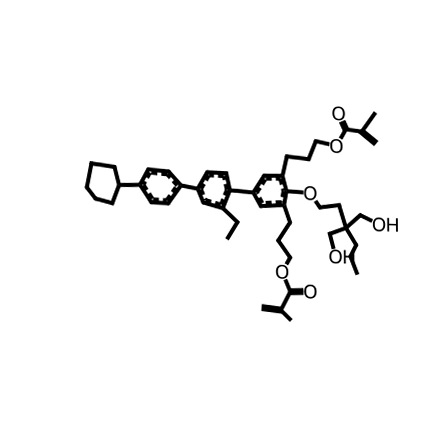 C=C(C)C(=O)OCCCc1cc(-c2ccc(-c3ccc(C4CCCCC4)cc3)cc2CC)cc(CCCOC(=O)C(=C)C)c1OCCC(CO)(CO)CCC